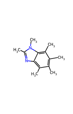 Cc1c(C)c(C)c2c(nc(C)n2C)c1C